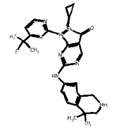 CC(C)(F)c1ccnc(-n2c3nc(Nc4ccc5c(c4)CNCC5(C)C)ncc3c(=O)n2C2CC2)n1